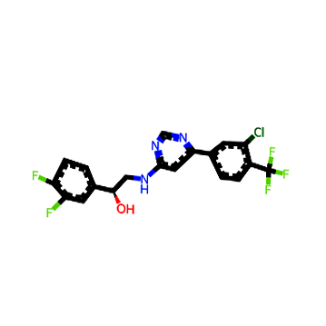 O[C@H](CNc1cc(-c2ccc(C(F)(F)F)c(Cl)c2)ncn1)c1ccc(F)c(F)c1